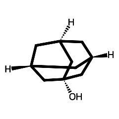 O[C@]12C[C@H]3C[C@H](C[C@H](C3)C1)C2